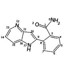 NC(=O)c1ccccc1-c1cc2ncccc2[nH]1